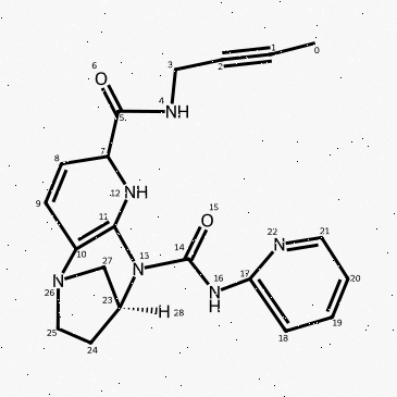 CC#CCNC(=O)C1C=CC2=C(N1)N(C(=O)Nc1ccccn1)[C@H]1CCN2C1